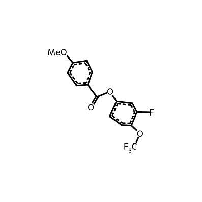 COc1ccc(C(=O)Oc2ccc(OC(F)(F)F)c(F)c2)cc1